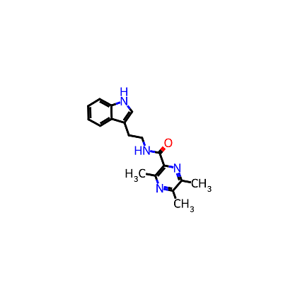 Cc1nc(C)c(C(=O)NCCc2c[nH]c3ccccc23)nc1C